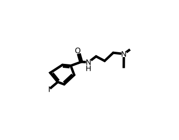 CN(C)CCCNC(=O)c1ccc(I)cc1